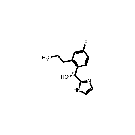 CCCc1cc(F)ccc1[C@@H](O)c1ncc[nH]1